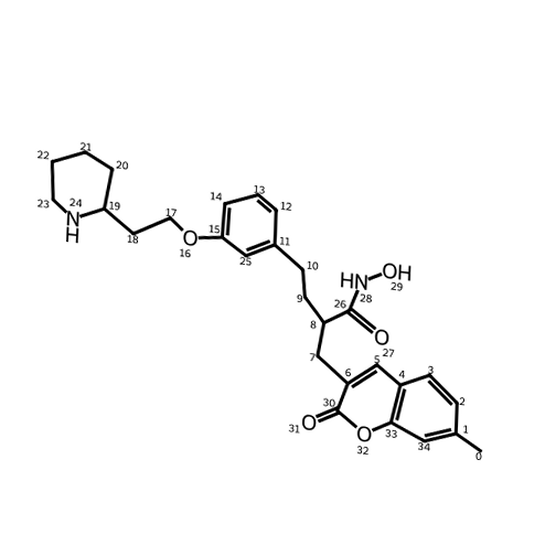 Cc1ccc2cc(CC(CCc3cccc(OCCC4CCCCN4)c3)C(=O)NO)c(=O)oc2c1